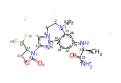 CC(C)N1CCn2cc(N3C(=O)OCC3C(F)F)nc2-c2ccc(N[C@@H](C)C(N)=O)cc21